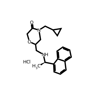 C[C@@H](NCC1CN(CC2CC2)C(=O)CO1)c1cccc2ccccc12.Cl